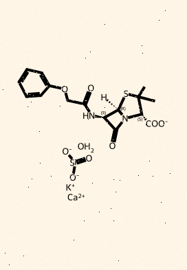 CC1(C)S[C@@H]2[C@H](NC(=O)COc3ccccc3)C(=O)N2[C@H]1C(=O)[O-].O.O=[Si]([O-])[O-].[Ca+2].[K+]